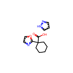 O=C(O)C1(c2ncco2)CCCCC1.c1cn[nH]c1